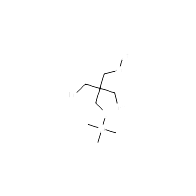 CCOCC(CO[Si](C)(C)C)(CC(C)C)CC(C)C